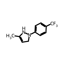 CC1=CCN(c2ccc(C(F)(F)F)cc2)N1